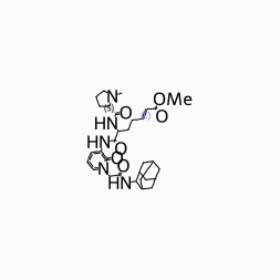 COC(=O)/C=C/CCC(NC(=O)[C@@H]1CCCN1C)C(=O)Nc1cccn(CC(=O)NC2C3CC4CC(C3)CC2C4)c1=O